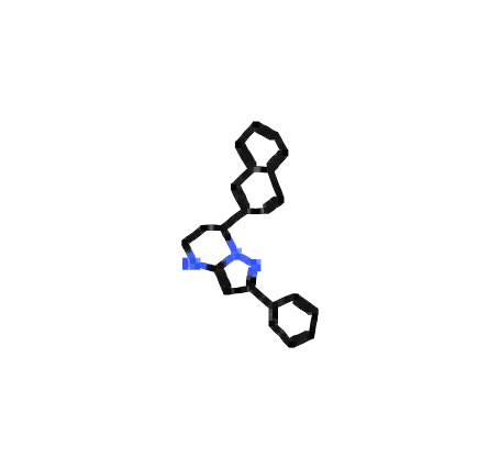 c1ccc(-c2cc3n(n2)C(c2ccc4ccccc4c2)CCN3)cc1